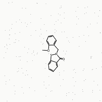 COc1ccccc1Cn1sc2ccccc2c1=O